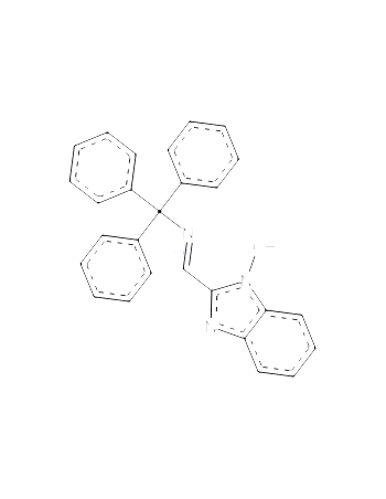 Cn1c(/C=N/C(c2ccccc2)(c2ccccc2)c2ccccc2)nc2ccccc21